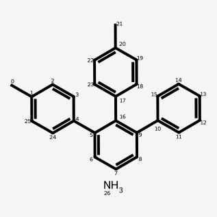 Cc1ccc(-c2cccc(-c3ccccc3)c2-c2ccc(C)cc2)cc1.N